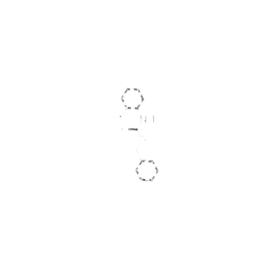 O=C(Nc1ccccc1Cl)OCc1ccccc1